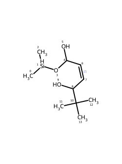 C[SiH](C)OC(O)/C=C\C(O)C(C)(C)C